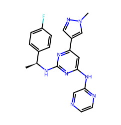 C[C@H](Nc1nc(Nc2cnccn2)cc(-c2cnn(C)c2)n1)c1ccc(F)cc1